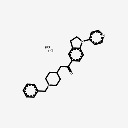 Cl.Cl.O=C(CC1CCN(Cc2ccccc2)CC1)c1ccc2c(c1)CCN2c1ccncc1